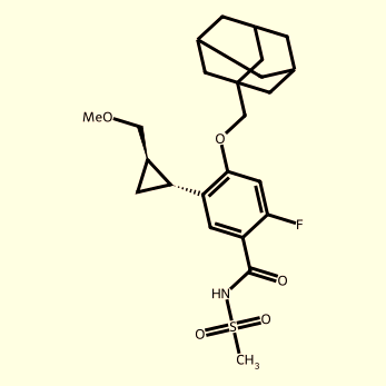 COC[C@@H]1C[C@H]1c1cc(C(=O)NS(C)(=O)=O)c(F)cc1OCC12CC3CC(CC(C3)C1)C2